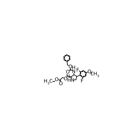 CCOC(=O)CO/N=C1\NCC(c2c(F)cc(OC)cc2F)C1NC(=O)OCc1ccccc1